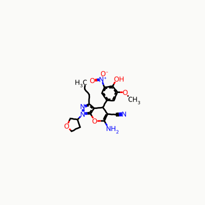 CCCc1nn(C2CCOC2)c2c1C(c1cc(OC)c(O)c([N+](=O)[O-])c1)C(C#N)=C(N)O2